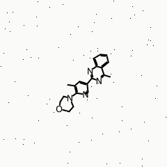 Cc1cc(-c2nc(C)c3ccccc3n2)cnc1N1CCOCC1